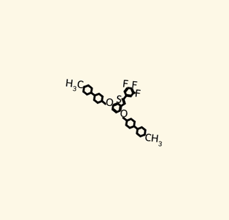 CC1CCC(C2CCC(COc3ccc(OCC4CCC(C5CCC(C)CC5)CC4)c4sc(-c5cc(F)c(F)c(F)c5)cc34)CC2)CC1